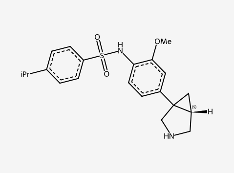 COc1cc(C23CNC[C@H]2C3)ccc1NS(=O)(=O)c1ccc(C(C)C)cc1